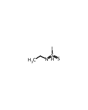 CCN=[SH](=S)I